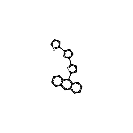 c1csc(-c2ccc(-c3ccc(-c4c5ccccc5cc5ccccc45)s3)s2)c1